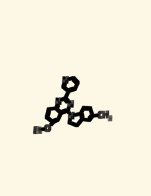 CCOc1ccc2nc(-c3cccnc3)nc(N3CCc4cc(C)ccc43)c2c1